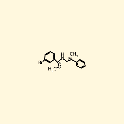 CO[C@H](NC[C@H](C)c1ccccc1)c1cccc(Br)c1